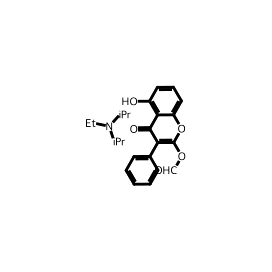 CCN(C(C)C)C(C)C.O=COc1oc2cccc(O)c2c(=O)c1-c1ccccc1